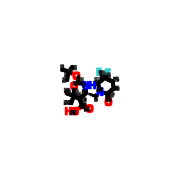 CC(C)(C)OC(=O)N[C@H](CN1CC(F)(F)CCC1=O)C(C(=O)O)C(C)(C)C